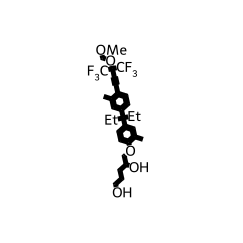 CCC(CC)(c1ccc(C#CC(OCOC)(C(F)(F)F)C(F)(F)F)c(C)c1)c1ccc(OCC(O)CCCO)c(C)c1